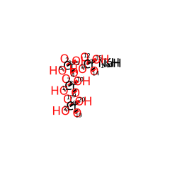 [KH].[NaH].[O]=[Cr](=[O])([OH])[OH].[O]=[Cr](=[O])([OH])[OH].[O]=[Cr](=[O])([OH])[OH].[O]=[Cr](=[O])([OH])[OH]